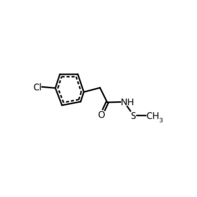 CSNC(=O)Cc1ccc(Cl)cc1